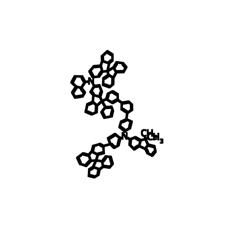 CC1(C)c2ccccc2-c2ccc(N(c3ccc(-c4cccc(-c5cccc(C6(c7ccccc7)c7ccccc7-c7cc(N(c8ccc9c(c8)C8(c%10ccccc%10-c%10ccccc%108)c8ccccc8-9)c8cccc9ccccc89)ccc76)c5)c4)cc3)c3ccc(-c4ccc5c(c4)C4(c6ccccc6-c6ccccc64)c4ccccc4-5)cc3)cc21